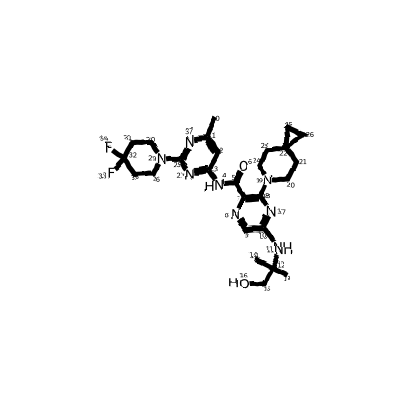 Cc1cc(NC(=O)c2ncc(NC(C)(C)CO)nc2N2CCC3(CC2)CC3)nc(N2CCC(F)(F)CC2)n1